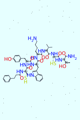 CC(C)[C@H](NC(=O)[C@H](CCCCN)NC(=O)[C@@H](Cc1c[nH]c2ccccc12)NC(=O)[C@H](Cc1ccc(O)cc1)NC(=O)[C@@H](CS)NC(=O)CCc1ccccc1)C(=O)N[C@@H](CS)C(=O)N[C@H](C(N)=O)[C@@H](C)O